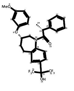 COc1cccc(O[C@H]2CCc3cc(C(O)(C(F)(F)F)C(F)(F)F)ccc3N(C(=O)[C@H](C)c3ccccc3)C2)c1